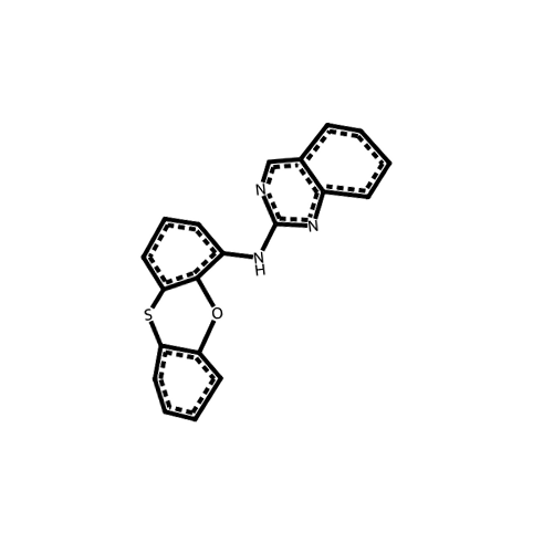 c1ccc2c(c1)Oc1c(Nc3ncc4ccccc4n3)cccc1S2